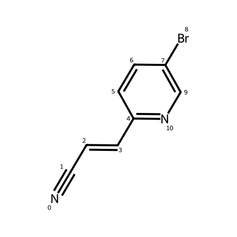 N#C/C=C/c1ccc(Br)cn1